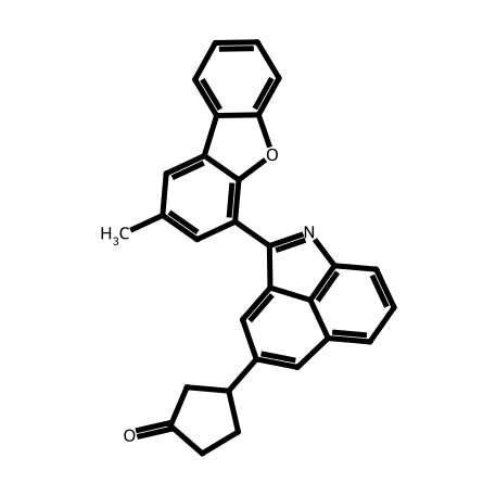 Cc1cc(C2=Nc3cccc4cc(C5CCC(=O)C5)cc2c34)c2oc3ccccc3c2c1